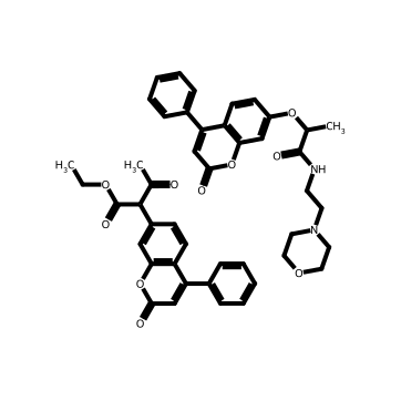 CC(Oc1ccc2c(-c3ccccc3)cc(=O)oc2c1)C(=O)NCCN1CCOCC1.CCOC(=O)C(C(C)=O)c1ccc2c(-c3ccccc3)cc(=O)oc2c1